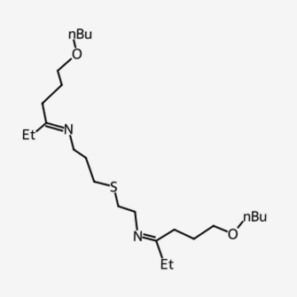 CCCCOCCCC(CC)=NCCCSCCN=C(CC)CCCOCCCC